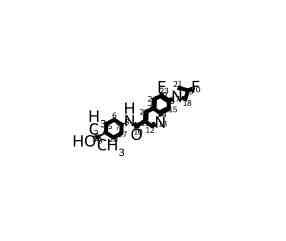 CC(C)(O)[C@H]1CC[C@H](NC(=O)c2cnc3cc(N4CC(F)C4)c(F)cc3c2)CC1